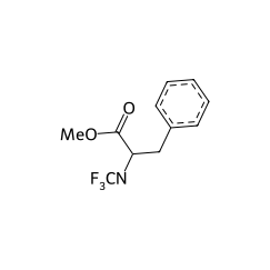 COC(=O)C(Cc1ccccc1)NC(F)(F)F